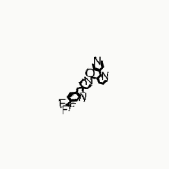 N#CC1(Cc2ccc(C(F)(F)F)cc2)CCN(C(=O)c2cccnc2-c2ccncc2)CC1